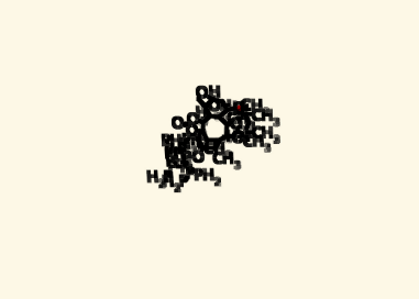 CC1=C2[C@H]3O[Si](C)(C)C[Si](C)(C)O[C@H]4C[C@H]5OC[C@@]5(O)C([C@@H]5OC(=O)O[C@@]5(C[C@@H]1OP(P(P)P(P)P)P(P(P)P)P(P)P)C2(C)C)[C@]4(C)C3=O